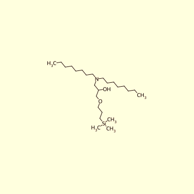 CCCCCCCCN(CCCCCCCC)CC(O)COCCC[Si](C)(C)C